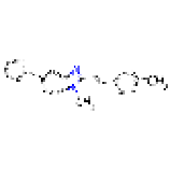 Cc1ccc(C=Cc2nc3cc(-c4ccccc4)ccc3n2C)cc1